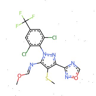 COC=Nc1c(SC)c(-c2ncon2)nn1-c1c(Cl)cc(C(F)(F)F)cc1Cl